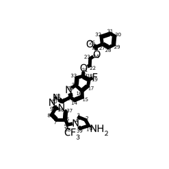 N[C@H]1CCN([C@@H](c2ccc3nnc(-c4ccc5cc(F)c(OCCOC(=O)c6ccccc6)cc5n4)n3c2)C(F)(F)F)C1